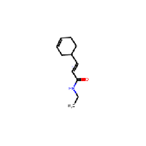 CCNC(=O)/C=C/C1CC=CCC1